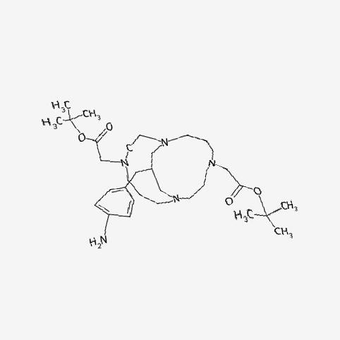 CC(C)(C)OC(=O)CN1CCCN2CCN(CC(=O)OC(C)(C)C)CCCN(CC1)CC(Cc1ccc(N)cc1)C2